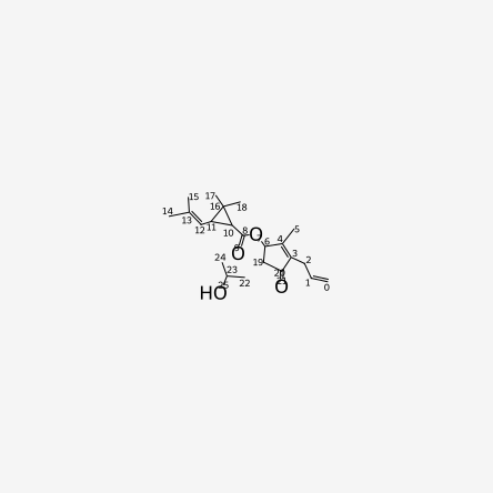 C=CCC1=C(C)C(OC(=O)C2C(C=C(C)C)C2(C)C)CC1=O.CC(C)O